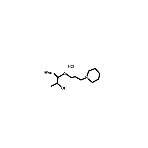 CCCCCC(SCCCN1CCCCC1)C(C)O.Cl